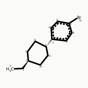 CC[C@H]1CC[C@H](c2ccc(Br)cc2)CC1